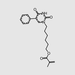 C=C(C)C(=O)OCCCCCCn1cc(-c2ccccc2)c(=O)[nH]c1=O